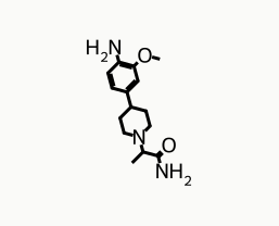 COc1cc(C2CCN(C(C)C(N)=O)CC2)ccc1N